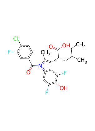 CCC(C)C[C@@H](C(=O)O)c1c(C)n(C(=O)c2ccc(Cl)c(F)c2)c2cc(F)c(O)c(F)c12